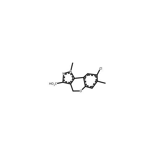 Cc1cc2c(cc1Cl)-c1c(c(C(=O)O)nn1C)CO2